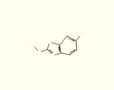 CC(=O)OSc1nc2ccc(N)cc2o1